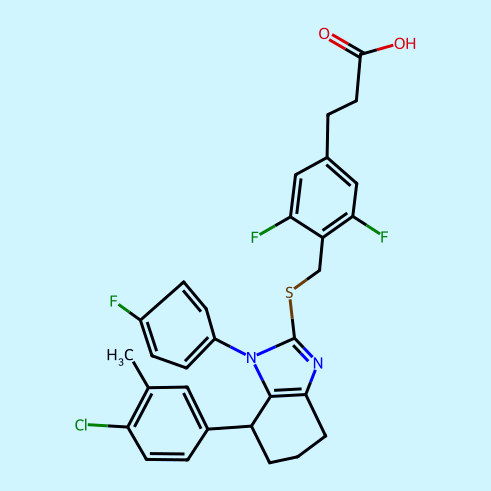 Cc1cc(C2CCCc3nc(SCc4c(F)cc(CCC(=O)O)cc4F)n(-c4ccc(F)cc4)c32)ccc1Cl